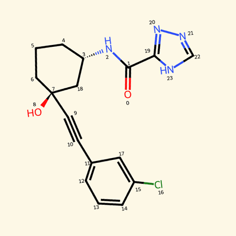 O=C(N[C@H]1CCC[C@@](O)(C#Cc2cccc(Cl)c2)C1)c1nnc[nH]1